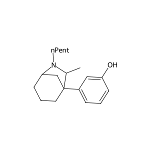 CCCCCN1C2CCCC(c3cccc(O)c3)(C2)C1C